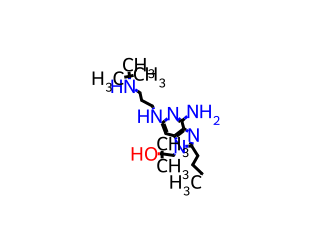 CCCCc1nc2c(N)nc(NCCCNC(C)(C)C)cc2n1CC(C)(C)O